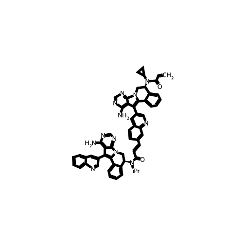 C=CC(=O)N(C1CC1)[C@@H]1Cn2c(c(-c3cnc4cc(/C=C/C(=O)N(C(C)C)[C@@H]5Cn6c(c(-c7cnc8ccccc8c7)c7c(N)ncnc76)-c6ccccc65)ccc4c3)c3c(N)ncnc32)-c2ccccc21